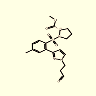 COC(=O)[C@@H]1CCCN1S(=O)(=O)c1ccc(C)cc1-c1ccn(CCC=O)n1